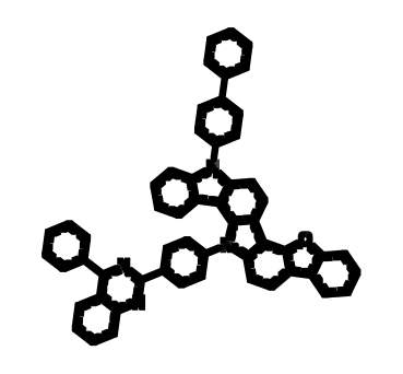 c1ccc(-c2ccc(-n3c4ccccc4c4c3ccc3c5c6oc7ccccc7c6ccc5n(-c5ccc(-c6nc(-c7ccccc7)c7ccccc7n6)cc5)c34)cc2)cc1